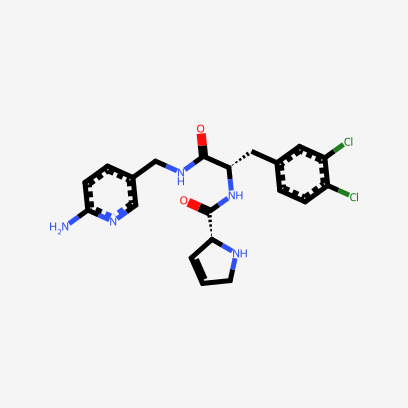 Nc1ccc(CNC(=O)[C@H](Cc2ccc(Cl)c(Cl)c2)NC(=O)[C@H]2C=CCN2)cn1